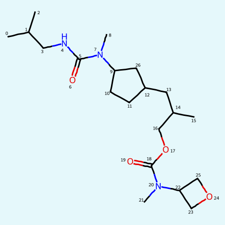 CC(C)CNC(=O)N(C)C1CCC(CC(C)COC(=O)N(C)C2COC2)C1